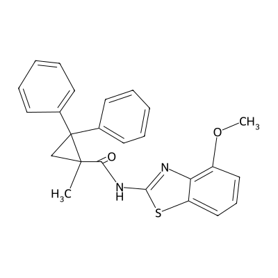 COc1cccc2sc(NC(=O)C3(C)CC3(c3ccccc3)c3ccccc3)nc12